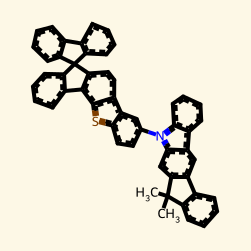 CC1(C)c2ccccc2-c2cc3c4ccccc4n(-c4ccc5sc6c7c(ccc6c5c4)C4(c5ccccc5-c5ccccc54)c4ccccc4-7)c3cc21